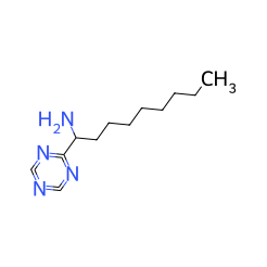 CCCCCCCCC(N)c1ncncn1